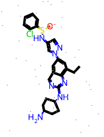 CCc1cc(-n2cc(N[S+]([O-])c3ccccc3Cl)cn2)cc2cnc(N[C@H]3CC[C@H](N)CC3)nc12